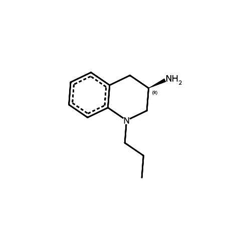 CCCN1C[C@H](N)Cc2ccccc21